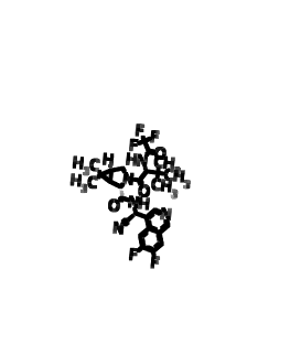 CC(C)(C)[C@H](NC(=O)C(F)(F)F)C(=O)N1C[C@H]2C([C@H]1C(=O)N[C@H](C#N)c1cncc3cc(F)c(F)cc13)C2(C)C